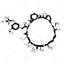 CO[C@H]1C[C@@H]2CC[C@@H](C)[C@@](O)(O2)C(=O)C(=O)N2CCCC[C@H]2C(=O)OC([C@H](C)C[C@@H]2CC[C@@H](O[Si](C)(C)C)[C@H](OC)C2)CC(=O)[C@H](C)/C=C(\C)[C@@H](O)[C@@H](OC)C(=O)[C@H](C)C[C@H](C)/C=C/C=C/C=C/1C